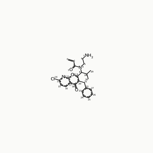 C=CC(=O)N(CCN)C(c1oc2nc(Cl)ccc2c(=O)c1Cc1ccccc1)C(C)C